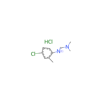 Cc1cc(Cl)ccc1/N=C/N(C)C.Cl